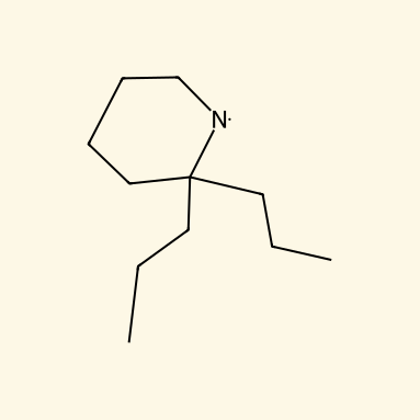 CCCC1(CCC)CCCC[N]1